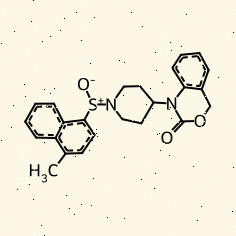 Cc1ccc([S+]([O-])N2CCC(N3C(=O)OCc4ccccc43)CC2)c2ccccc12